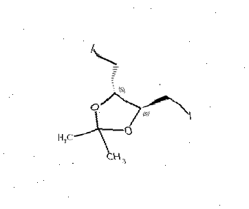 CC1(C)O[C@H](CI)[C@@H](CI)O1